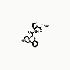 COC(=O)c1sccc1NC(=O)CN1CCNCC1c1ccccc1F